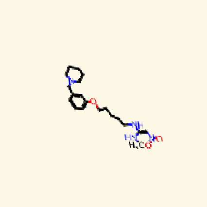 CNC(=C[N+](=O)[O-])NCCCCCOc1cccc(CN2CCCCC2)c1